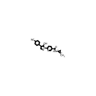 C[C@H]1C[C@@H]1NC(=O)c1ccc(-n2ncc(-c3ccc(C#N)cc3)c2O)nc1